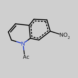 CC(=O)N1CC=Cc2ccc([N+](=O)[O-])cc21